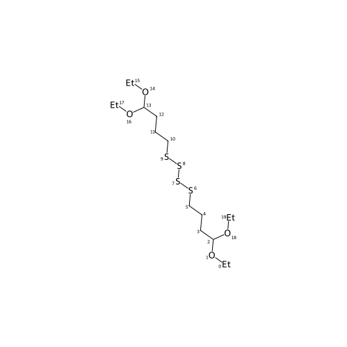 CCOC(CCCSSSSCCCC(OCC)OCC)OCC